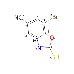 N#Cc1cc(Br)c2oc(S)nc2c1